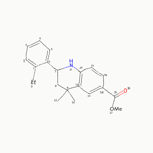 CCc1ccccc1C1CC(C)(C)c2cc(C(=O)OC)ccc2N1